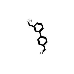 O=Cc1ccc(-c2cccc(CO)c2)cc1